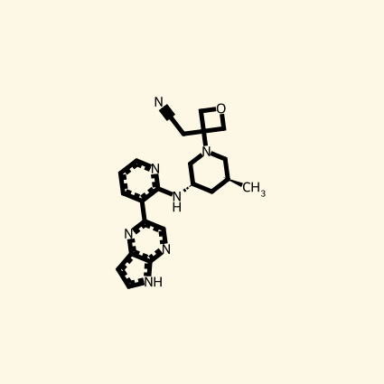 C[C@H]1C[C@H](Nc2ncccc2-c2cnc3[nH]ccc3n2)CN(C2(CC#N)COC2)C1